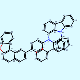 c1ccc(-c2ccccc2N(c2ccc(-c3ccc4ccc5oc6ccccc6c5c4c3)cc2)c2cccc3c4ccccc4n(-c4ccccc4)c23)cc1